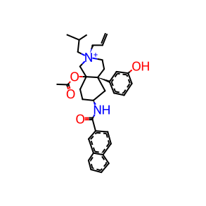 C=CC[N@@+]1(CC(C)C)CC[C@]2(c3cccc(O)c3)C[C@@H](NC(=O)c3ccc4ccccc4c3)CCC2(OC(C)=O)C1